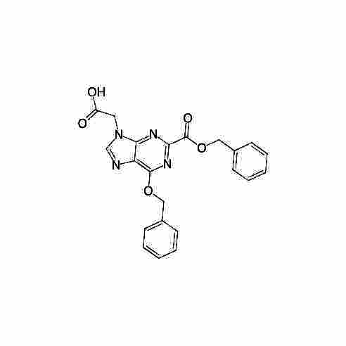 O=C(O)Cn1cnc2c(OCc3ccccc3)nc(C(=O)OCc3ccccc3)nc21